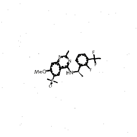 COc1cc2nc(C)nc(N[C@H](C)c3cccc(C(C)(F)F)c3F)c2cc1P(C)(C)=O